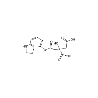 O=C(O)CC(O)(CC(=O)Oc1cccc2c1CCN2)C(=O)O